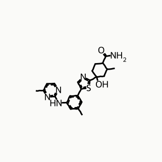 Cc1cc(Nc2nccc(C)n2)cc(-c2cnc(C3(O)CCC(C(N)=O)C(C)C3)s2)c1